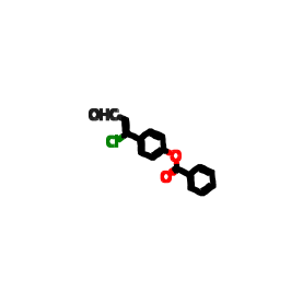 O=C/C=C(\Cl)c1ccc(OC(=O)c2ccccc2)cc1